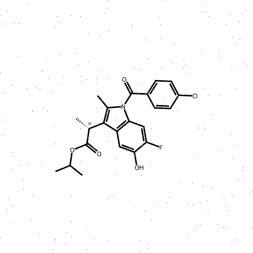 Cc1c([C@@H](C)C(=O)OC(C)C)c2cc(O)c(F)cc2n1C(=O)c1ccc(Cl)cc1